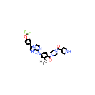 Cc1cc(Nc2nccn3c(-c4ccc(OC(F)F)cc4)cnc23)ccc1C(=O)N1CCN(C(=O)C2=CCNCC2)CC1